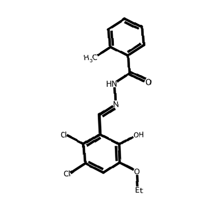 CCOc1cc(Cl)c(Cl)c(/C=N/NC(=O)c2ccccc2C)c1O